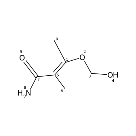 CC(OCO)=C(C)C(N)=O